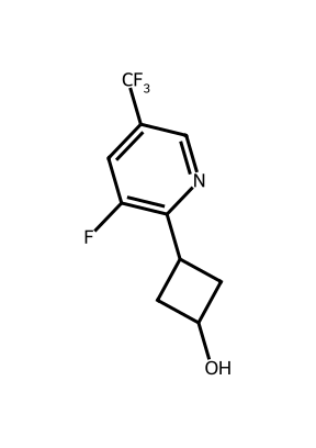 OC1CC(c2ncc(C(F)(F)F)cc2F)C1